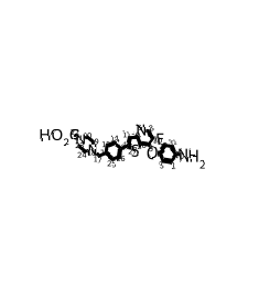 Nc1ccc(Oc2ccnc3cc(-c4ccc(CN5CCN(C(=O)O)CC5)cc4)sc23)c(F)c1